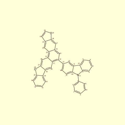 c1ccc(-n2c3ccccc3c3cc(-c4cc5cc6occc6cc5c5cc6oc7ccccc7c6cc45)ccc32)cc1